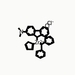 CN(C)c1ccc2c(c1)[CH]([Zr+2]([C]1=CC=CC1)=[C](c1ccccc1)c1ccccc1)c1ccccc1-2.[Cl-].[Cl-]